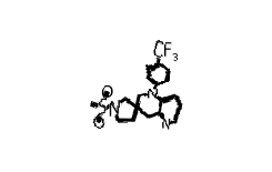 CS(=O)(=O)N1CCC2(Cc3ncccc3N(c3ccc(C(F)(F)F)cc3)C2)C1